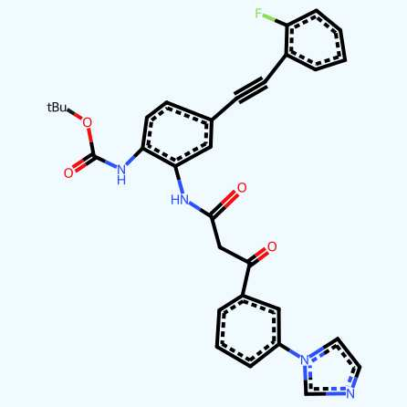 CC(C)(C)OC(=O)Nc1ccc(C#Cc2ccccc2F)cc1NC(=O)CC(=O)c1cccc(-n2ccnc2)c1